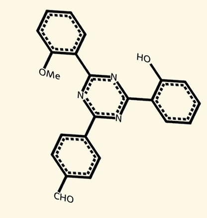 COc1ccccc1-c1nc(-c2ccc(C=O)cc2)nc(-c2ccccc2O)n1